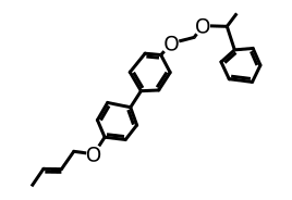 C/C=C/COc1ccc(-c2ccc(OCOC(C)c3ccccc3)cc2)cc1